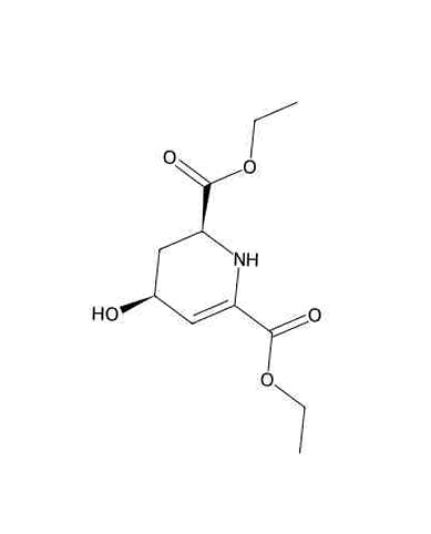 CCOC(=O)C1=C[C@@H](O)C[C@@H](C(=O)OCC)N1